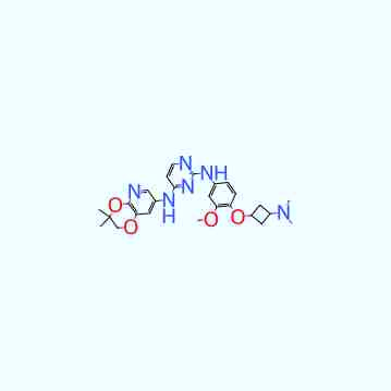 COc1cc(Nc2nccc(Nc3cnc4c(c3)OCC(C)(C)O4)n2)ccc1OC1CC(N(C)C)C1